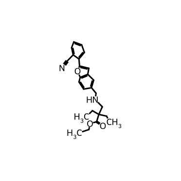 CCOC(=O)C(CC)(CC)CNCc1ccc2oc(-c3ccccc3C#N)cc2c1